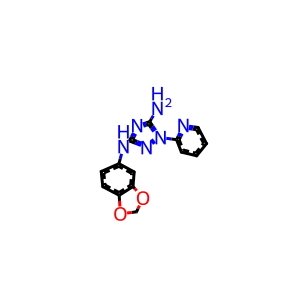 Nc1nc(Nc2ccc3c(c2)OCO3)nn1-c1ccccn1